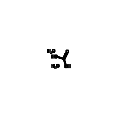 O.O.O=C(O)O